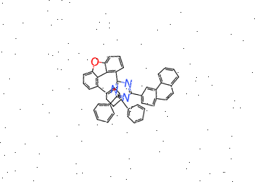 C1=C(c2ccccc2)CCC(c2cccc3oc4cccc(-c5nc(-c6ccccc6)nc(-c6ccc7ccc8ccccc8c7c6)n5)c4c23)=C1